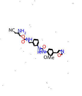 COc1cc(NC(=O)Nc2cccc(CNC(=O)OC[C@H](N)CC#N)c2)ccc1-c1cnco1